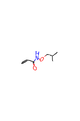 C=CC(=O)NOCC(C)C